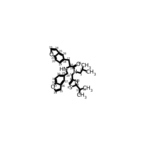 CC(C)CN(Cc1csc(C(C)C)n1)C(=O)C(Cc1ccc2occc2c1)NCc1ccc2occc2c1